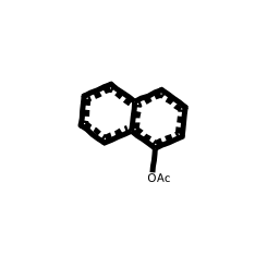 [CH]C(=O)Oc1cccc2ccccc12